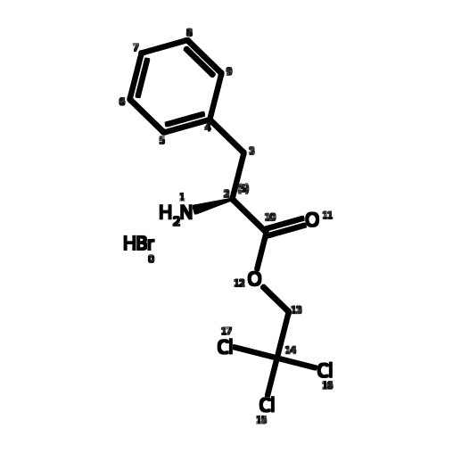 Br.N[C@@H](Cc1ccccc1)C(=O)OCC(Cl)(Cl)Cl